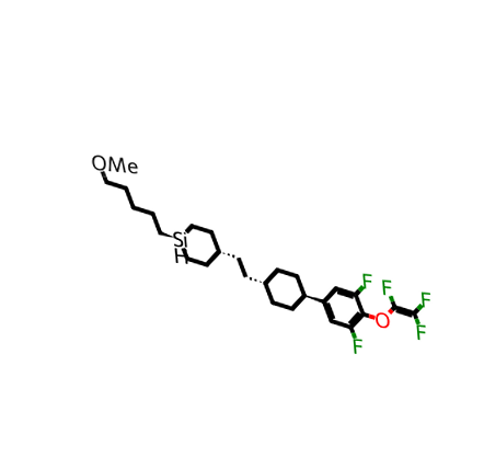 COCCCCC[Si@H]1CC[C@H](CC[C@H]2CC[C@H](c3cc(F)c(OC(F)=C(F)F)c(F)c3)CC2)CC1